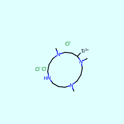 CN1CCCNCCCN(C)CC[CH]([Ti+3])N(C)CCC1.[Cl-].[Cl-].[Cl-]